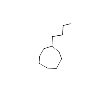 BrCCCC1CCCCCCC1